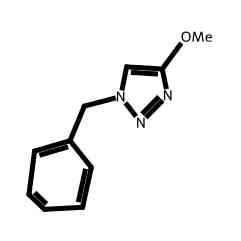 COc1cn(Cc2ccccc2)nn1